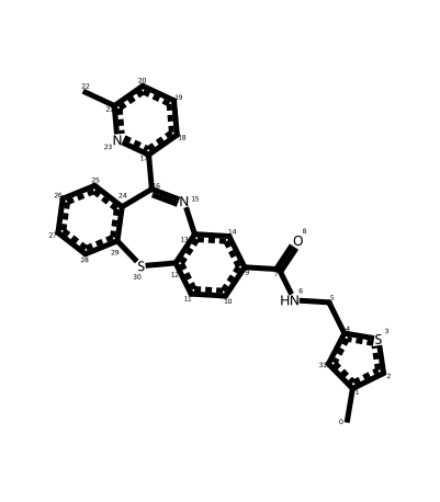 Cc1csc(CNC(=O)c2ccc3c(c2)N=C(c2cccc(C)n2)c2ccccc2S3)c1